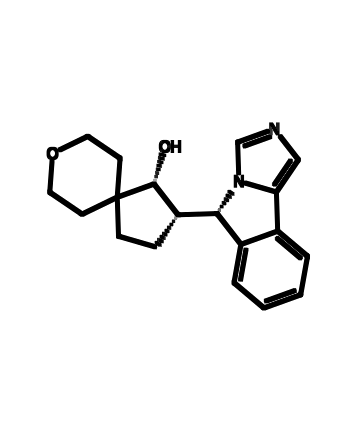 O[C@@H]1[C@H]([C@H]2c3ccccc3-c3cncn32)CCC12CCOCC2